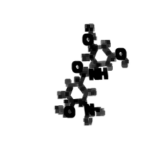 COc1cc(NC(=O)c2ccc(OC)c(N(C)C)c2)cc(OC)c1